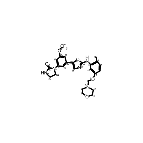 Cc1ccc(OCN2CCOCC2)cc1Nc1ncc(-c2cc(OC(F)(F)F)cc(N3CCNC3=O)c2)o1